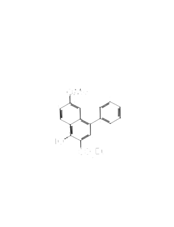 CCOC(=O)c1cc(-c2ccccc2)c2cc(OC)ccc2c1O